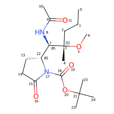 CCC[C@](C)(OC)[C@H](NC(C)=O)[C@H]1CCC(=O)N1C(=O)OC(C)(C)C